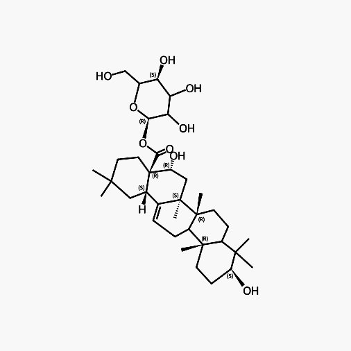 CC1(C)CC[C@]2(C(=O)O[C@H]3OC(CO)[C@@H](O)C(O)C3O)[C@H](O)C[C@]3(C)C(=CCC4[C@@]5(C)CC[C@H](O)C(C)(C)C5CC[C@]43C)[C@@H]2C1